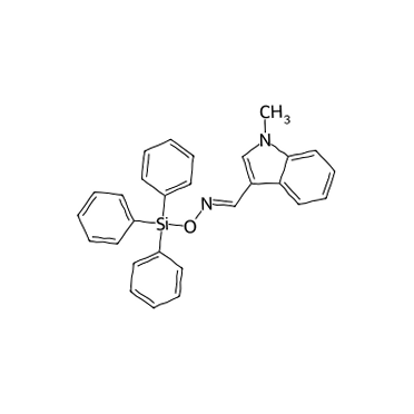 Cn1cc(/C=N/O[Si](c2ccccc2)(c2ccccc2)c2ccccc2)c2ccccc21